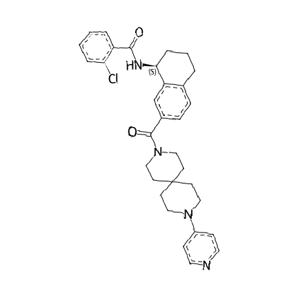 O=C(N[C@H]1CCCc2ccc(C(=O)N3CCC4(CC3)CCN(c3ccncc3)CC4)cc21)c1ccccc1Cl